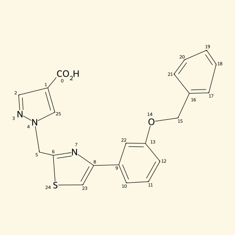 O=C(O)c1cnn(Cc2nc(-c3cccc(OCc4ccccc4)c3)cs2)c1